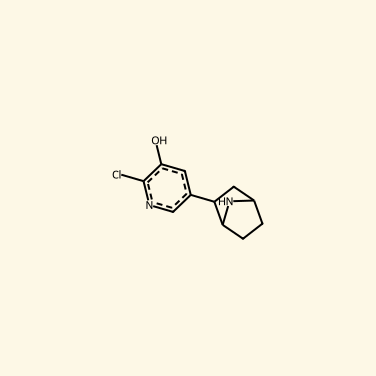 Oc1cc(C2CC3CCC2N3)cnc1Cl